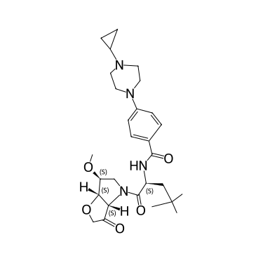 CO[C@H]1CN(C(=O)[C@H](CC(C)(C)C)NC(=O)c2ccc(N3CCN(C4CC4)CC3)cc2)[C@@H]2C(=O)CO[C@H]12